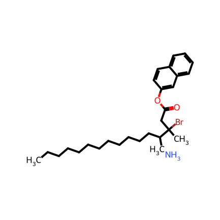 CCCCCCCCCCCCC(C)C(C)(Br)CC(=O)Oc1ccc2ccccc2c1.N